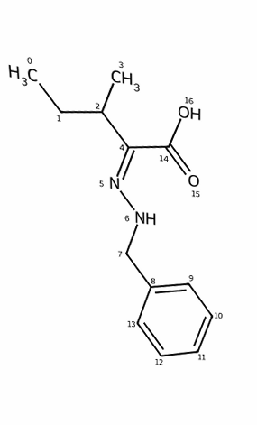 CCC(C)C(=NNCc1ccccc1)C(=O)O